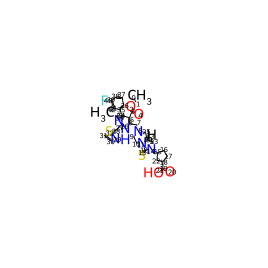 CCOC(=O)C1=C(CN2CCN3C(=S)N(C4CCC(C(=O)O)C4)C[C@@H]3C2)NC(c2nccs2)=N[C@H]1c1cccc(F)c1C